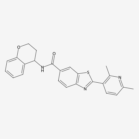 Cc1ccc(-c2nc3ccc(C(=O)NC4CCOc5ccccc54)cc3s2)c(C)n1